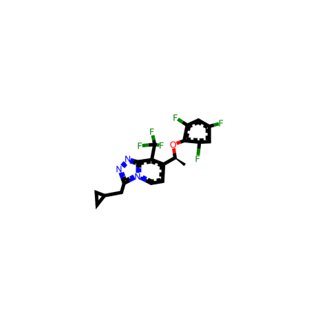 C[C@H](Oc1c(F)cc(F)cc1F)c1ccn2c(CC3CC3)nnc2c1C(F)(F)F